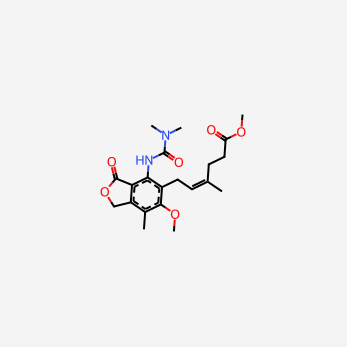 COC(=O)CCC(C)=CCc1c(NC(=O)N(C)C)c2c(c(C)c1OC)COC2=O